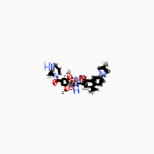 COc1cc(C(=O)N2CCCNC3CC32)cc(OC)c1S(=O)(=O)Nc1noc2c1CC1(CC1)c1ccc(N3CCC3)cc1-2